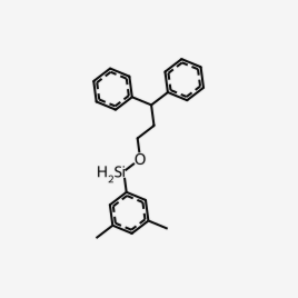 Cc1cc(C)cc([SiH2]OCCC(c2ccccc2)c2ccccc2)c1